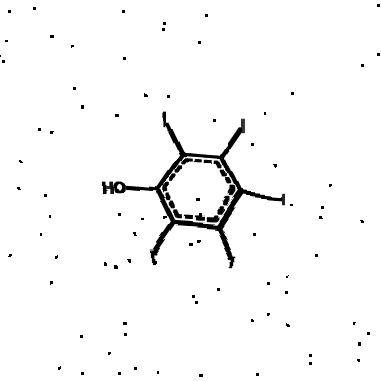 Oc1c(I)c(I)c(I)c(I)c1I